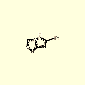 CC(C)c1nc2nncn2[nH]1